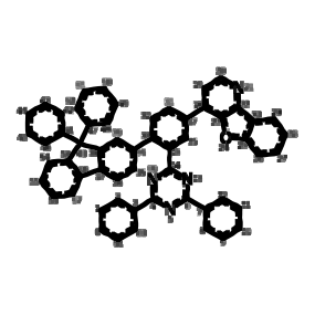 c1ccc(-c2nc(-c3ccccc3)nc(-c3cc(-c4ccnc5c4oc4ccccc45)ccc3-c3ccc4c(c3)C(c3ccccc3)(c3ccccc3)c3ccccc3-4)n2)cc1